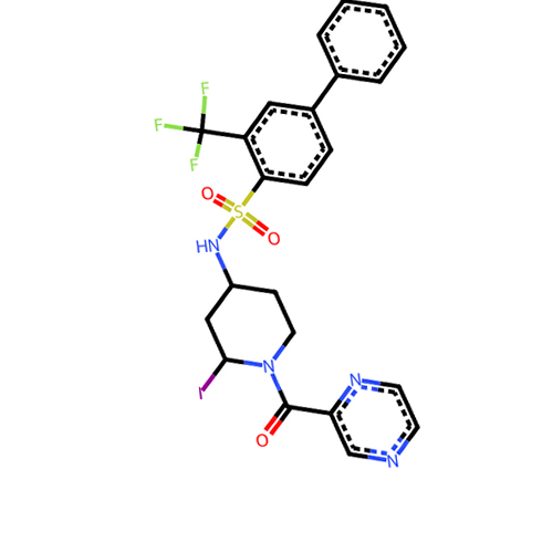 O=C(c1cnccn1)N1CCC(NS(=O)(=O)c2ccc(-c3ccccc3)cc2C(F)(F)F)CC1I